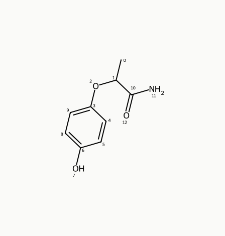 CC(Oc1ccc(O)cc1)C(N)=O